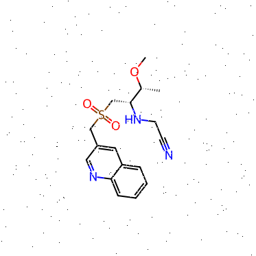 CO[C@H](C)[C@@H](CS(=O)(=O)Cc1cnc2ccccc2c1)NCC#N